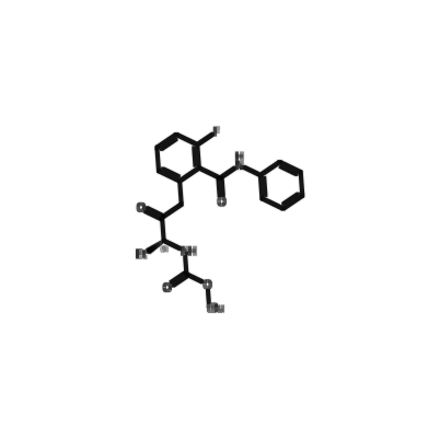 CC[C@H](NC(=O)OC(C)(C)C)C(=O)Cc1cccc(F)c1C(=O)Nc1ccccc1